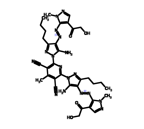 CCCCc1nn(-c2nc(-n3nc(CCCC)c(/N=N/c4c(C(=O)CO)cnn4C)c3N)c(C#N)c(C)c2C#N)c(N)c1/N=N/c1c(C(=O)CO)cnn1C